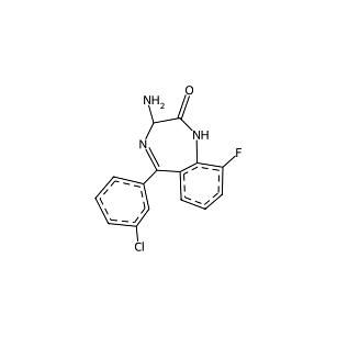 NC1N=C(c2cccc(Cl)c2)c2cccc(F)c2NC1=O